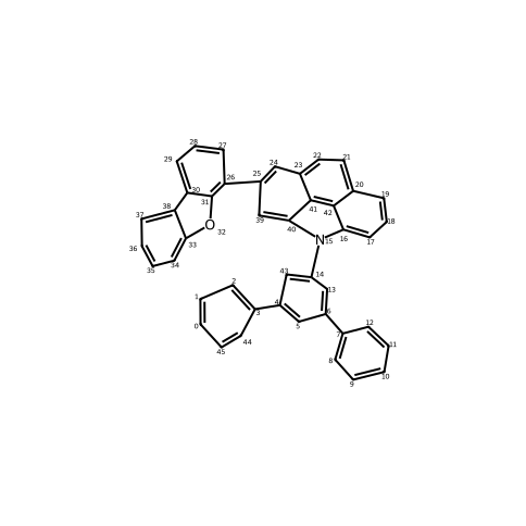 c1ccc(-c2cc(-c3ccccc3)cc(-n3c4cccc5ccc6cc(-c7cccc8c7oc7ccccc78)cc3c6c54)c2)cc1